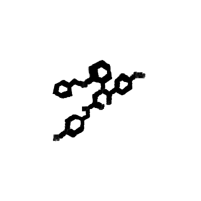 COc1ccc(C(=O)N(CC(=O)NCC2CCN(C(C)C)CC2)c2ccccc2OCc2ccccc2)cc1